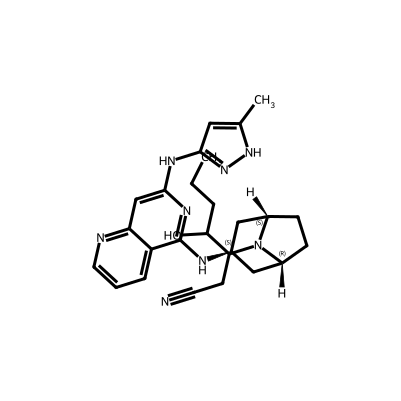 CCCC(O)C(CC#N)N1[C@@H]2CC[C@H]1C[C@H](Nc1nc(Nc3cc(C)[nH]n3)cc3ncccc13)C2